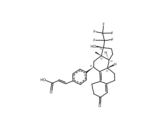 C[C@]12C[C@H](c3ccc(C=CC(=O)O)cc3)C3=C4CCC(=O)C=C4CC[C@H]3[C@@H]1CC[C@@]2(O)C(F)(F)C(F)(F)F